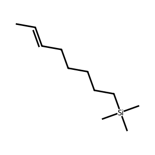 C/C=C/CCCCC[Si](C)(C)C